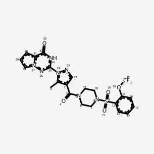 Cc1c(C(=O)N2CCN(S(=O)(=O)c3ccccc3OC(F)(F)F)CC2)cnn1-c1nn2cccc2c(=O)[nH]1